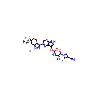 C[C@@H](NC(=O)Oc1c[nH]c2ncc(-c3nn(C)c4c3CCC(C)(C)C4)nc12)C(=O)N1CC(C#N)C1